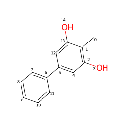 Cc1c(O)cc(-c2ccccc2)cc1O